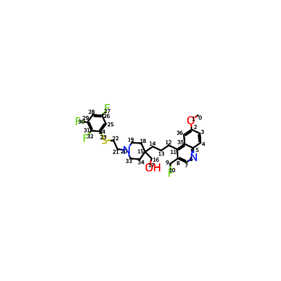 COc1ccc2ncc(CF)c(CCCC3(CO)CCN(CCSc4cc(F)cc(F)c4F)CC3)c2c1